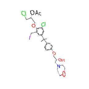 CC(=O)O[C@@H](CCl)COc1c(Cl)cc(C(C)(C)c2ccc(OC[C@H](O)CN3CCOCC3)cc2)cc1CI